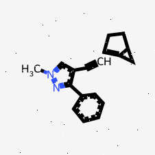 C#Cc1cn(C)nc1-c1ccccc1.C1=C2CC2CC1